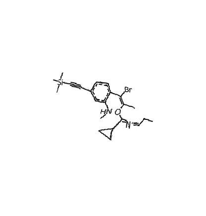 CCC=[N+]=C(OC(C)=C(Br)c1ccc(C#C[Si](C)(C)C)cc1NC)C1CC1